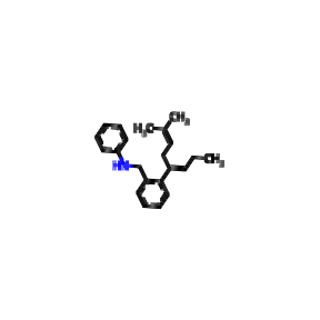 CC/C=C(\CC=C(C)C)c1ccccc1CNc1ccccc1